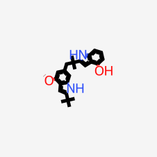 COc1cc(CC(C)(C)c2cc3c(O)cccc3[nH]2)cc2[nH]c(C(C)(C)C)cc12